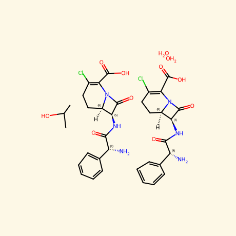 CC(C)O.N[C@@H](C(=O)N[C@@H]1C(=O)N2C(C(=O)O)=C(Cl)CC[C@H]12)c1ccccc1.N[C@@H](C(=O)N[C@@H]1C(=O)N2C(C(=O)O)=C(Cl)CC[C@H]12)c1ccccc1.O.O